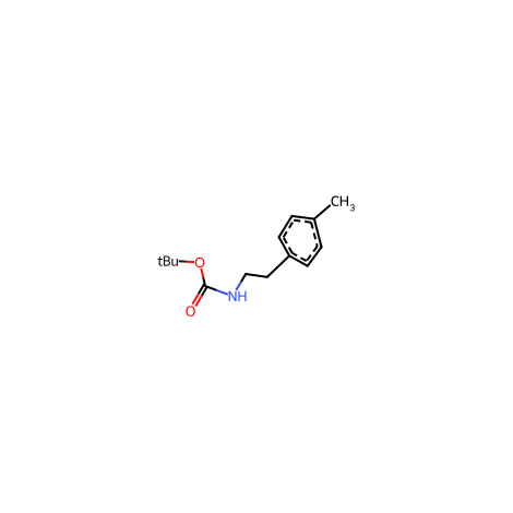 Cc1ccc(CCNC(=O)OC(C)(C)C)cc1